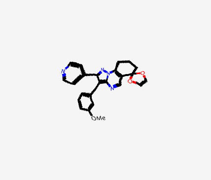 COc1cccc(-c2c(-c3ccncc3)nn3c4c(cnc23)C2(CCC4)OCCO2)c1